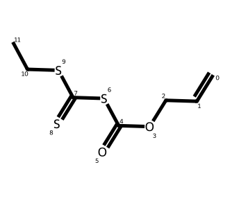 C=CCOC(=O)SC(=S)SCC